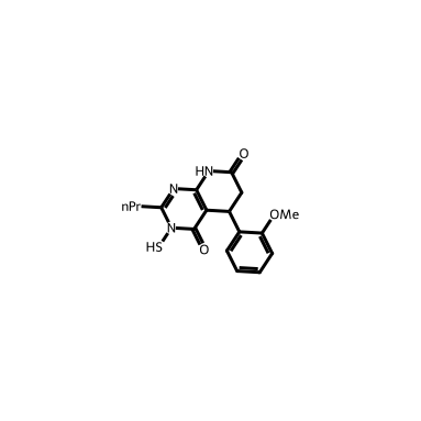 CCCc1nc2c(c(=O)n1S)C(c1ccccc1OC)CC(=O)N2